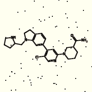 NC(=O)C1CCCN(c2cc(-c3ccc4c(c3)N(CC3CCCN3)CC4)c(Cl)cn2)C1